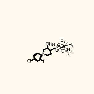 CC(C)(C)[Si](C)(C)OCC1CCN(c2ccc(Cl)cc2F)CC1O